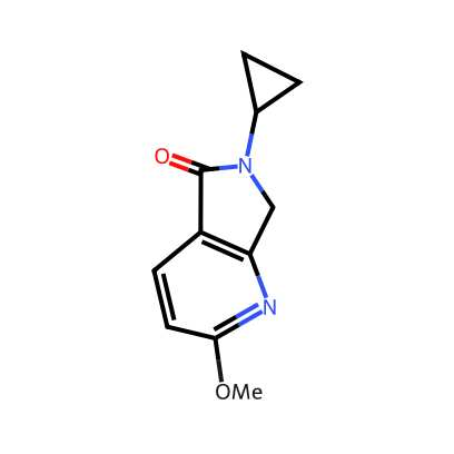 COc1ccc2c(n1)CN(C1CC1)C2=O